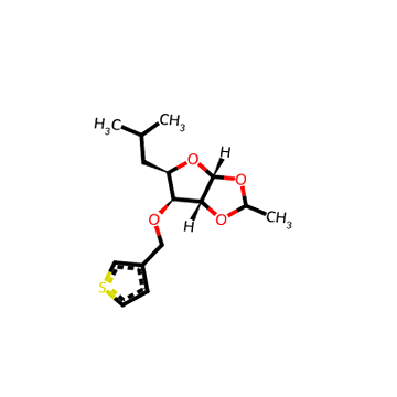 CC(C)C[C@H]1O[C@@H]2OC(C)O[C@@H]2[C@H]1OCc1ccsc1